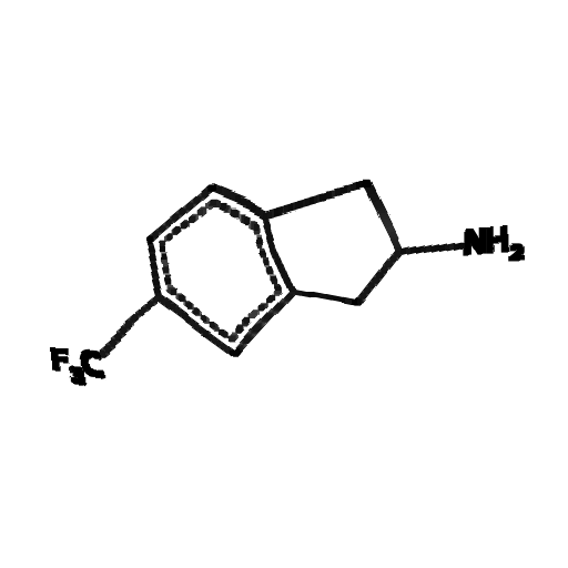 NC1Cc2ccc(C(F)(F)F)cc2C1